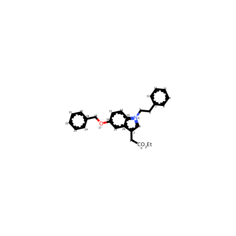 CCOC(=O)Cc1cn(CCc2ccccc2)c2ccc(OCc3ccccc3)cc12